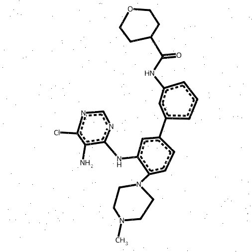 CN1CCN(c2ccc(-c3cccc(NC(=O)C4CCOCC4)c3)cc2Nc2ncnc(Cl)c2N)CC1